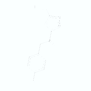 CCOC(=O)c1cc(C(=O)Cc2ccc(C)cc2)c[nH]1